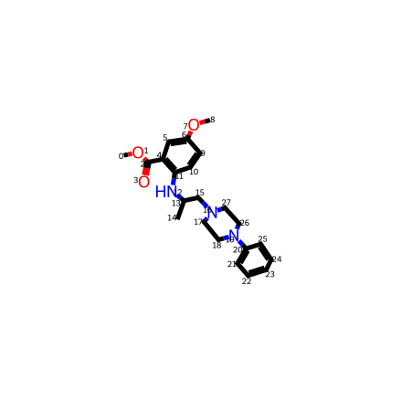 COC(=O)c1cc(OC)ccc1NC(C)CN1CCN(c2ccccc2)CC1